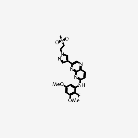 COc1cc(Nc2ccc3ncc(-c4cnn(CCS(C)(=O)=O)c4)nc3n2)c(F)c(OC)c1